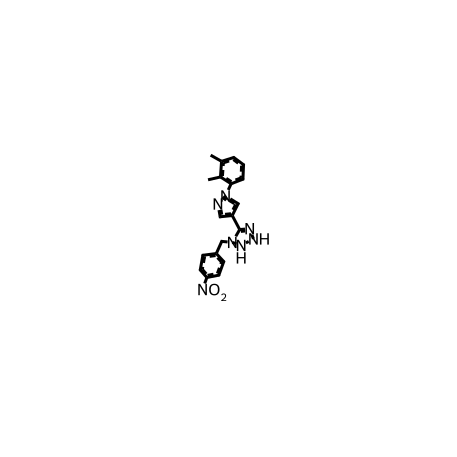 Cc1cccc(-n2cc(C3=NNNN3Cc3ccc([N+](=O)[O-])cc3)cn2)c1C